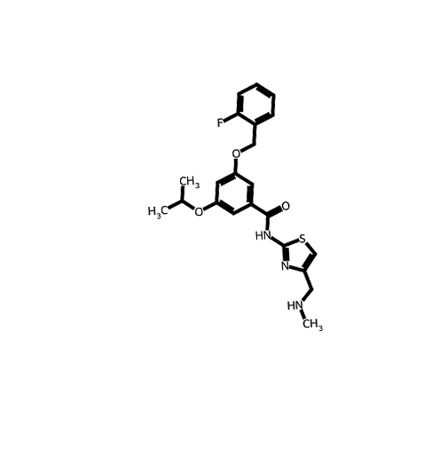 CNCc1csc(NC(=O)c2cc(OCc3ccccc3F)cc(OC(C)C)c2)n1